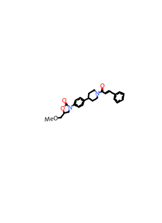 COCC1CN(c2ccc(C3CCN(C(=O)/C=C/c4ccccc4)CC3)cc2)C(=O)O1